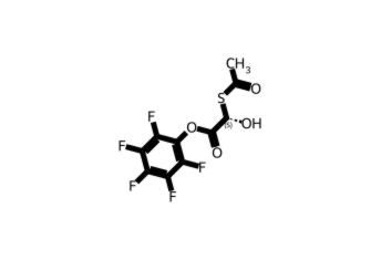 CC(=O)S[C@H](O)C(=O)Oc1c(F)c(F)c(F)c(F)c1F